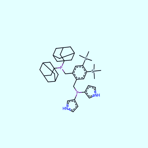 C[Si](C)(C)c1cc(CP(c2cc[nH]c2)c2cc[nH]c2)c(CP(C23CC4CC(CC(C4)C2)C3)C23CC4CC(CC(C4)C2)C3)cc1[Si](C)(C)C